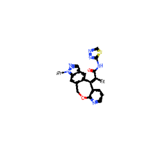 CCC(C(=O)Nc1nncs1)=C1c2cc3cnn(C(C)C)c3cc2COc2ncccc21